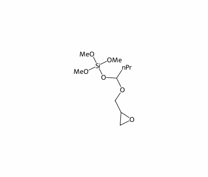 CCCC(OCC1CO1)O[Si](OC)(OC)OC